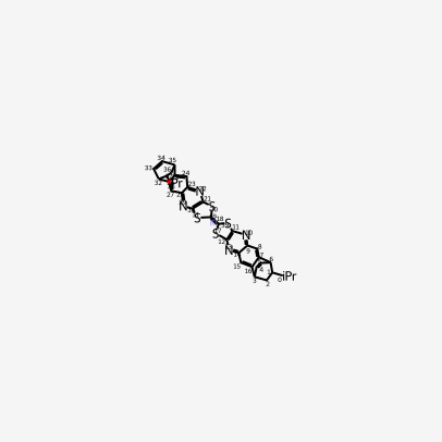 CC(C)C1CC2C=CC1c1cc3nc4c(nc3cc12)S/C(=C1/Sc2nc3cc5c(cc3nc2S1)C1C=CC5CC1C(C)C)S4